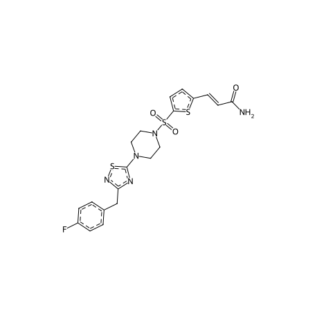 NC(=O)C=Cc1ccc(S(=O)(=O)N2CCN(c3nc(Cc4ccc(F)cc4)ns3)CC2)s1